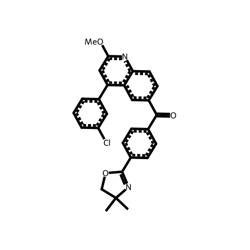 COc1cc(-c2cccc(Cl)c2)c2cc(C(=O)c3ccc(C4=NC(C)(C)CO4)cc3)ccc2n1